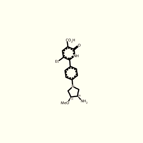 CCc1cc(C(=O)O)c(=O)[nH]c1-c1ccc(N2C[C@@H](N)[C@@H](OC)C2)cc1